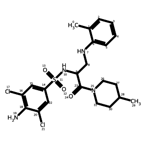 Cc1ccccc1NCC(NS(=O)(=O)c1cc(Cl)c(N)c(Cl)c1)C(=O)N1CCC(C)CC1